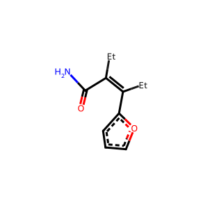 CCC(C(N)=O)=C(CC)c1ccco1